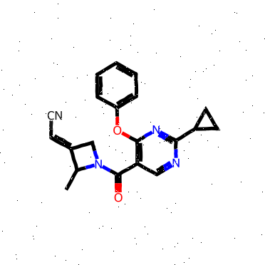 CC1C(=CC#N)CN1C(=O)c1cnc(C2CC2)nc1Oc1ccccc1